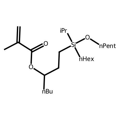 C=C(C)C(=O)OC(CCCC)CC[Si](CCCCCC)(OCCCCC)C(C)C